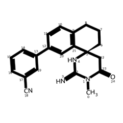 CN1C(=N)N[C@@]2(CCCc3ccc(-c4cccc(C#N)c4)cc32)CC1=O